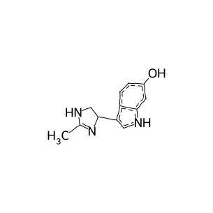 CC1=NC(c2c[nH]c3cc(O)ccc23)CN1